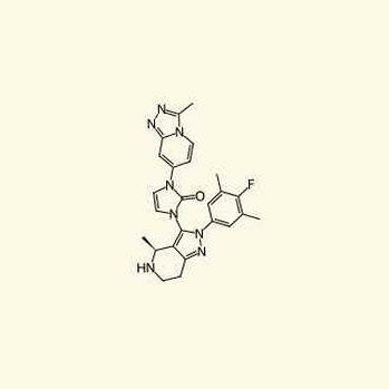 Cc1cc(-n2nc3c(c2-n2ccn(-c4ccn5c(C)nnc5c4)c2=O)[C@H](C)NCC3)cc(C)c1F